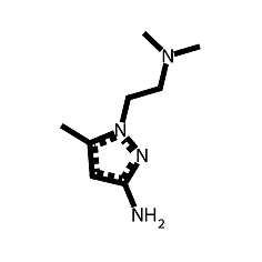 Cc1cc(N)nn1CCN(C)C